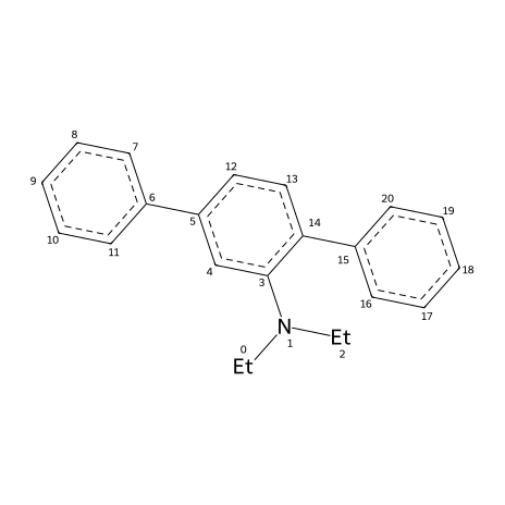 CCN(CC)c1cc(-c2ccccc2)ccc1-c1ccccc1